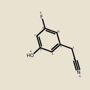 N#CCc1cc(O)cc(F)c1